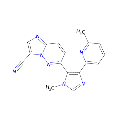 Cc1cccc(-c2ncn(C)c2-c2ccc3ncc(C#N)n3n2)n1